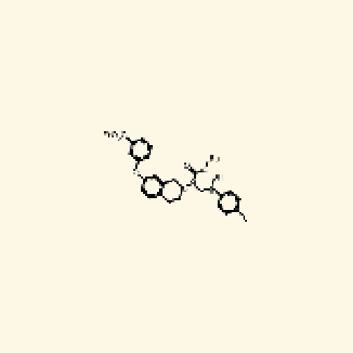 CCOC(=O)c1cccc(Oc2ccc3c(c2)C[C@@H](N(C[C@@H](O)c2ccc(Cl)cc2)C(=O)OC(C)(C)C)CC3)c1